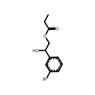 CCC(=O)OCC(O)c1cccc(Br)c1